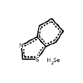 [SeH2].c1ccc2scnc2c1